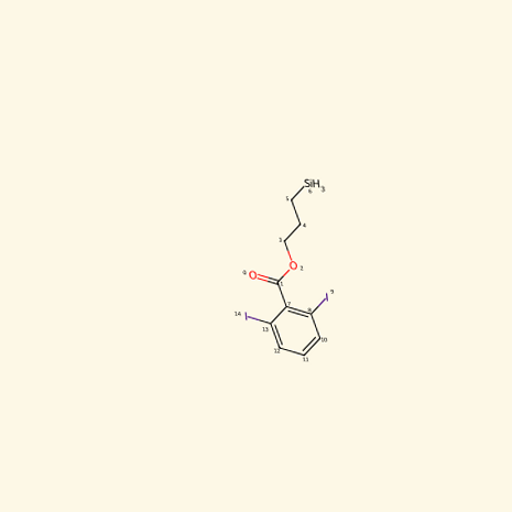 O=C(OCCC[SiH3])c1c(I)cccc1I